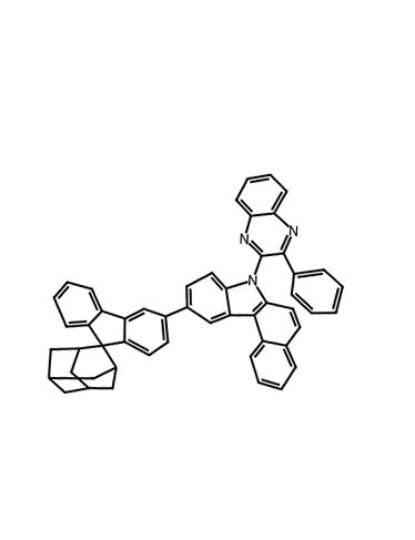 c1ccc(-c2nc3ccccc3nc2-n2c3ccc(-c4ccc5c(c4)-c4ccccc4C54C5CC6CC(C5)CC4C6)cc3c3c4ccccc4ccc32)cc1